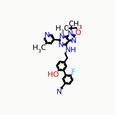 Cc1cncc(-c2nc(NCCc3ccc(O)c(-c4cc(C#N)ccc4F)c3)c3nc4n(c3n2)C(C)(C)CO4)c1